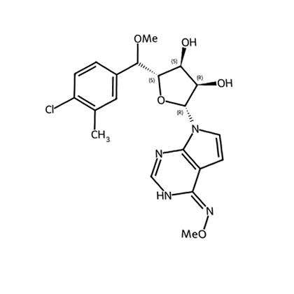 CON=c1[nH]cnc2c1ccn2[C@@H]1O[C@H](C(OC)c2ccc(Cl)c(C)c2)[C@@H](O)[C@H]1O